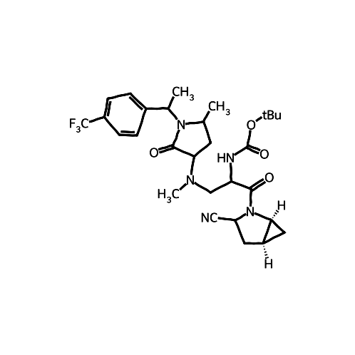 CC1CC(N(C)CC(NC(=O)OC(C)(C)C)C(=O)N2C(C#N)C[C@@H]3C[C@@H]32)C(=O)N1C(C)c1ccc(C(F)(F)F)cc1